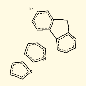 [Ir].c1ccc2c(c1)Cc1ccccc1-2.c1ccncc1.c1ccsc1